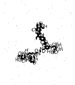 CCc1c2c(nc3ccc(OS(=O)(=O)Oc4cc(C(=O)N(C)CCN(C)C(=O)[C@H](CCCC(=O)N[C@H]5O[C@H](C(=O)O)[C@@H](O)[C@H](O)[C@H]5O)NC(=O)CN5C(=O)C=CC5=O)ccc4O[C@@H]4O[C@H](C(=O)O)[C@@H](O)[C@H](O)[C@H]4O)cc13)-c1cc3c(c(=O)n1C2)COC(=O)[C@]3(O)CC